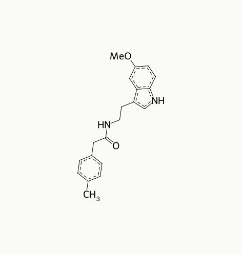 COc1ccc2[nH]cc(CCNC(=O)Cc3ccc(C)cc3)c2c1